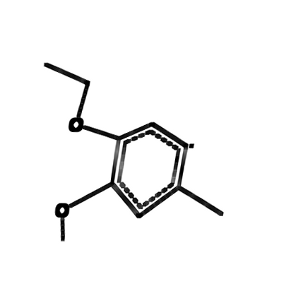 CCOc1c[c]c(C)cc1OC